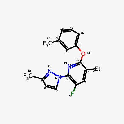 CCc1cc(F)c(-n2ccc(C(F)(F)F)n2)nc1Oc1cccc(C(F)(F)F)c1